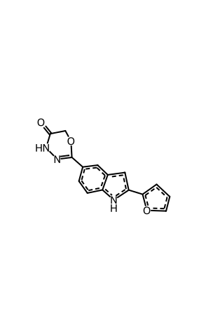 O=C1COC(c2ccc3[nH]c(-c4ccco4)cc3c2)=NN1